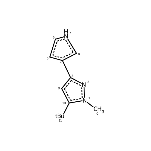 Cn1nc(-c2cc[nH]c2)cc1C(C)(C)C